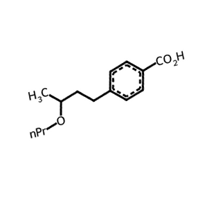 CCCOC(C)CCc1ccc(C(=O)O)cc1